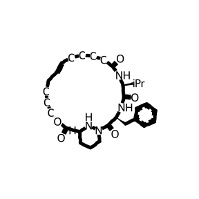 CC(C)[C@@H]1NC(=O)CCCC/C=C/CCCCOC(=O)[C@@H]2CCCN(N2)C(=O)[C@H](Cc2ccccc2)NC1=O